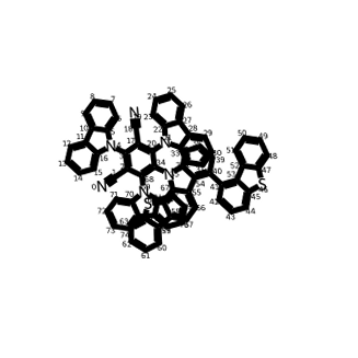 N#Cc1c(-n2c3ccccc3c3ccccc32)c(C#N)c(-n2c3ccccc3c3ccccc32)c(-n2c3cccc(-c4cccc5sc6ccccc6c45)c3c3ccc4c5ccccc5sc4c32)c1-n1c2ccccc2c2ccccc21